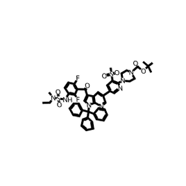 CCN(C)S(=O)(=O)Nc1ccc(F)c(C(=O)c2cn(C(c3ccccc3)(c3ccccc3)c3ccccc3)c3ncc(-c4cnc(N5CCN(C(=O)OC(C)(C)C)CC5)c(S(C)(=O)=O)c4)cc23)c1F